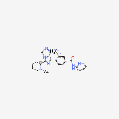 CC(=O)N1CCCC[C@H]1c1nc(-c2ccc(C(=O)Nc3ccccn3)cc2C)c2c(N)nccn12